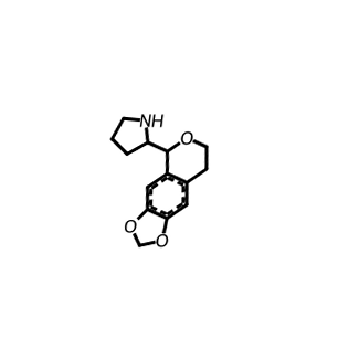 c1c2c(cc3c1OCO3)C(C1CCCN1)OCC2